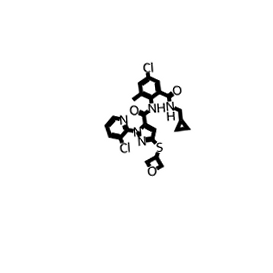 Cc1cc(Cl)cc(C(=O)NCC2CC2)c1NC(=O)c1cc(SC2COC2)nn1-c1ncccc1Cl